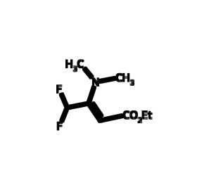 CCOC(=O)/C=C(/C(F)F)N(C)C